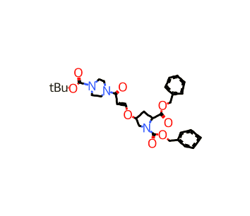 CC(C)(C)OC(=O)N1CCN(C(=O)C=COC2CC(C(=O)OCc3ccccc3)N(C(=O)OCc3ccccc3)C2)CC1